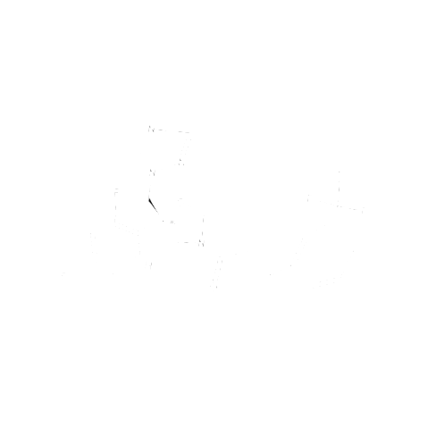 CC1N(C(=O)C=Cc2cccc(C(F)(F)F)c2)CO[C@@]1(Cn1cncn1)c1ccc(F)cc1F